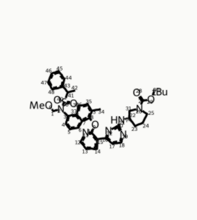 COCN(c1cccc2c(Oc3ncccc3-c3ccnc(N[C@@H]4CCCN(C(=O)OC(C)(C)C)C4)n3)c(C)ccc12)S(=O)(=O)C(C)c1ccccc1